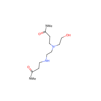 CNC(=O)CCNCCN(CCO)CCC(=O)NC